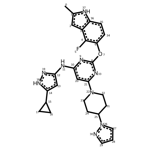 Cc1cc2c(F)c(Oc3nc(Nc4cc(C5CC5)[nH]n4)cc(N4CCC(n5cccn5)CC4)n3)ccc2[nH]1